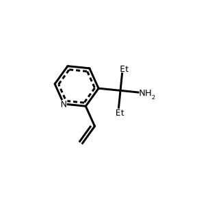 C=Cc1ncccc1C(N)(CC)CC